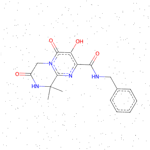 CC1(C)NC(=O)Cn2c1nc(C(=O)NCc1ccccc1)c(O)c2=O